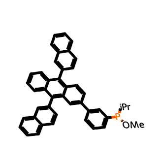 COP(c1cccc(-c2ccc3c(-c4ccc5ccccc5c4)c4ccccc4c(-c4ccc5ccccc5c4)c3c2)c1)C(C)C